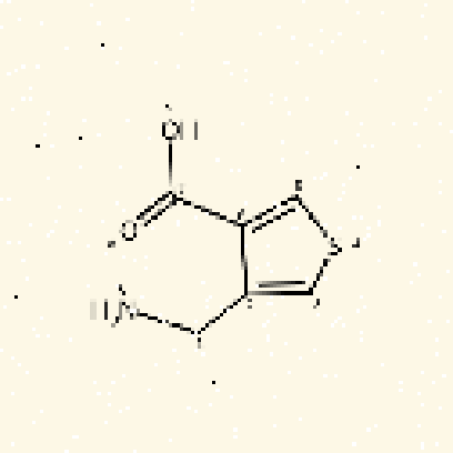 NCc1cscc1C(=O)O